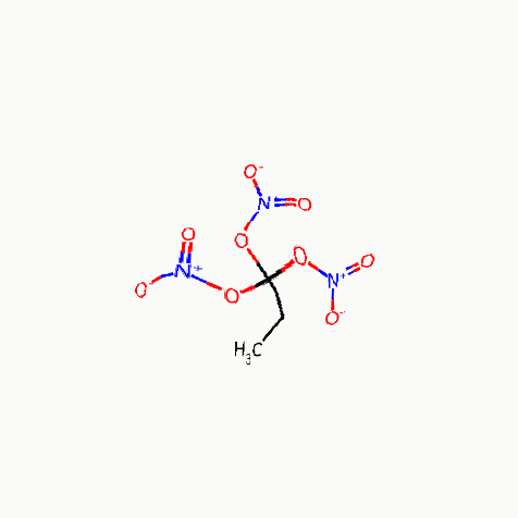 CCC(O[N+](=O)[O-])(O[N+](=O)[O-])O[N+](=O)[O-]